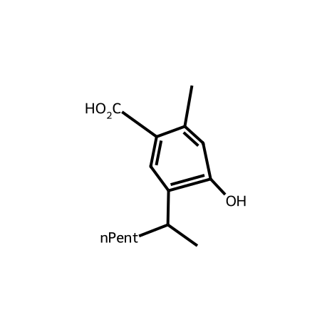 CCCCCC(C)c1cc(C(=O)O)c(C)cc1O